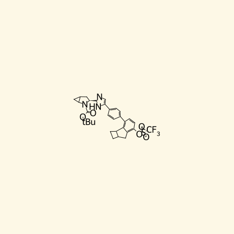 CC(C)(C)OC(=O)N1C2CC2C[C@H]1c1ncc(-c2ccc(-c3ccc(OS(=O)(=O)C(F)(F)F)c4c3C3CCC3C4)cc2)[nH]1